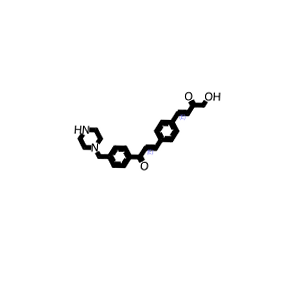 O=C(/C=C/c1ccc(/C=C/C(=O)c2ccc(CN3CCNCC3)cc2)cc1)CO